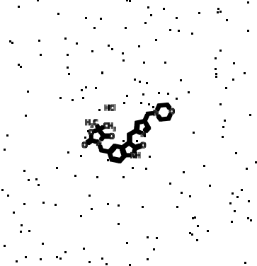 CC1(C)OC(=O)N(Cc2ccc3c(c2)C(=CC2=CC(CN4CCOCC4)C=N2)C(=O)N3)C1=O.Cl